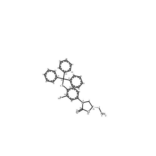 NC[C@H]1CN(c2ccc(SC(c3ccccc3)(c3ccccc3)c3ccccc3)c(F)c2)C(=O)O1